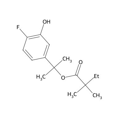 CCC(C)(C)C(=O)OC(C)(C)c1ccc(F)c(O)c1